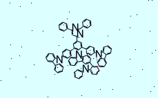 c1ccc(-c2cc(-c3cc(-c4ccc(-n5c6ccccc6c6ccccc65)cc4)c(-n4c5ccccc5c5c4ccc4c6ccccc6n(-c6ccccc6)c45)c(-c4ccc(-n5c6ccccc6c6ccccc65)cc4)c3)nc(-c3ccccc3)n2)cc1